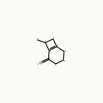 CC1CC2=C1C(=O)CCC2